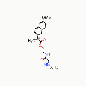 COc1ccc2cc([C@H](C)C(=O)OCCNC(=O)C[NH][AlH2])ccc2c1